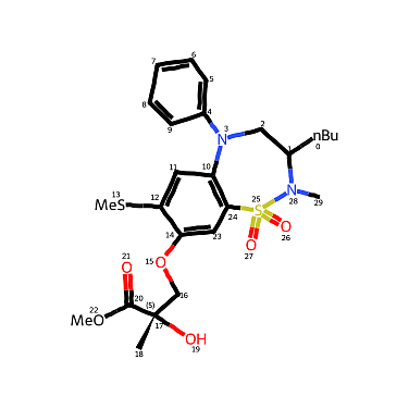 CCCCC1CN(c2ccccc2)c2cc(SC)c(OC[C@](C)(O)C(=O)OC)cc2S(=O)(=O)N1C